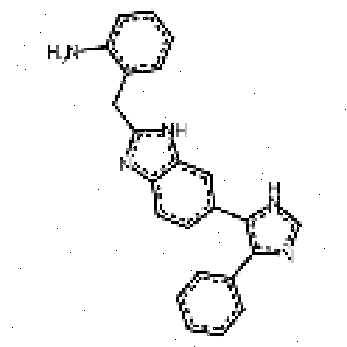 Nc1ccccc1Cc1nc2ccc(-c3[nH]cnc3-c3ccccc3)cc2[nH]1